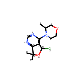 CC1COCCN1c1ncnc2c1C(Cl)OC2(C)C